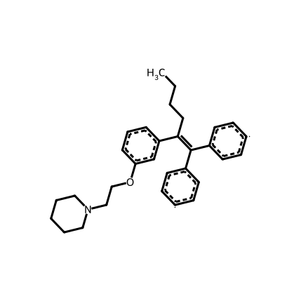 CCCCC(=C(c1cc[c]cc1)c1cc[c]cc1)c1cccc(OCCN2CCCCC2)c1